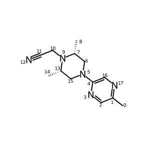 Cc1cnc(N2C[C@@H](C)N(CC#N)[C@@H](C)C2)cn1